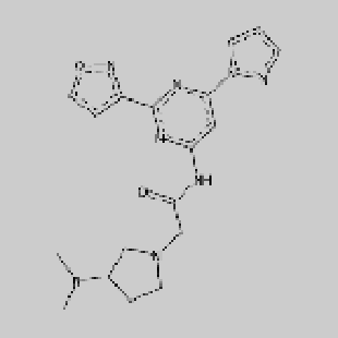 CN(C)C1CCN(CC(=O)Nc2cc(-n3cccn3)nc(-c3ccon3)n2)C1